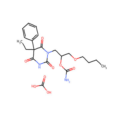 CCCCOCC(CN1C(=O)NC(=O)C(CC)(c2ccccc2)C1=O)OC(N)=O.O=C(O)O